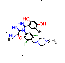 CC(C)NC(=O)C(=N)N(C(=N)c1cc(C(C)C)c(O)cc1O)c1cc(F)c(CN2CCN(C)CC2)c(F)c1